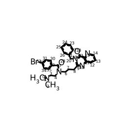 CN(C)CCN(CCCc1nc2cccnc2c(=O)n1Cc1ccccc1)C(=O)c1ccc(Br)cc1